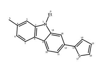 CCn1c2cc(C)ccc2c2ccc(-c3cccs3)cc21